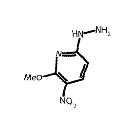 COc1nc(NN)ccc1[N+](=O)[O-]